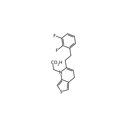 O=C(O)CN1C(CCc2cccc(F)c2F)=CCc2cscc21